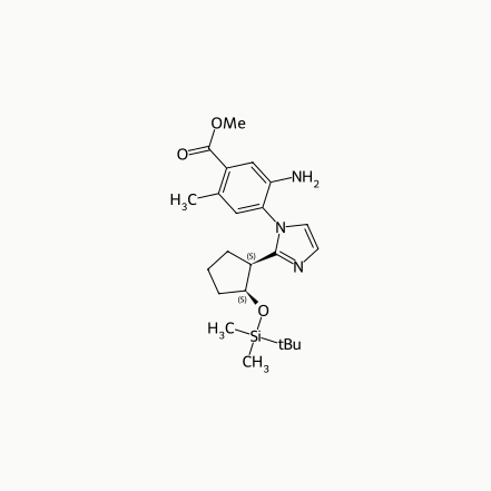 COC(=O)c1cc(N)c(-n2ccnc2[C@@H]2CCC[C@@H]2O[Si](C)(C)C(C)(C)C)cc1C